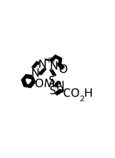 COc1ccccc1N1CCN(C[C@H]2CCC(=O)N2CCSc2nc(C(=O)O)cs2)CC1